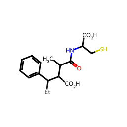 CCC(c1ccccc1)C(C(=O)O)C(C)C(=O)NC(CS)C(=O)O